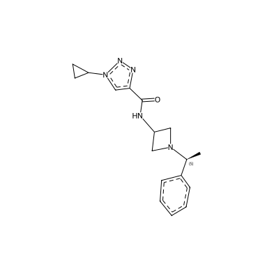 C[C@@H](c1ccccc1)N1CC(NC(=O)c2cn(C3CC3)nn2)C1